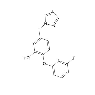 Oc1cc(Cn2cncn2)ccc1Oc1cccc(F)n1